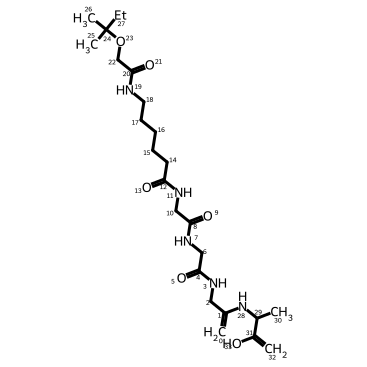 C=C(CNC(=O)CNC(=O)CNC(=O)CCCCCNC(=O)COC(C)(C)CC)NC(C)C(=C)O